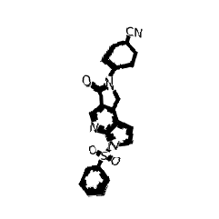 N#CC1CCC(N2Cc3c(cnc4c3ccn4S(=O)(=O)c3ccccc3)C2=O)CC1